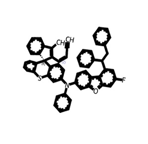 C#C/C=C\C1=C(C)c2ccccc2[C@]12c1ccccc1Sc1cc(N(c3ccccc3)c3ccc4c(c3)oc3cc(F)cc(C(Cc5ccccc5)c5ccccc5)c34)ccc12